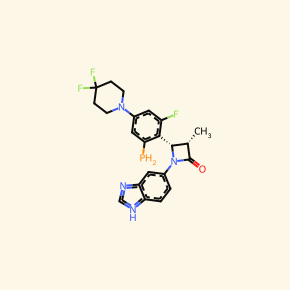 C[C@@H]1C(=O)N(c2ccc3[nH]cnc3c2)[C@@H]1c1c(F)cc(N2CCC(F)(F)CC2)cc1P